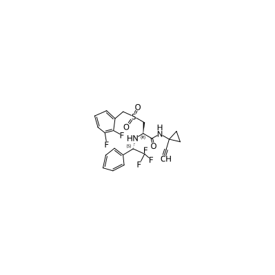 C#CC1(NC(=O)[C@H](CS(=O)(=O)Cc2cccc(F)c2F)N[C@@H](c2ccccc2)C(F)(F)F)CC1